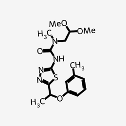 COC(CN(C)C(=O)Nc1nnc(C(C)Oc2cccc(C)c2)s1)OC